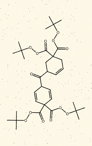 CC(C)(C)OOC(=O)C1(C(=O)OOC(C)(C)C)C=CC(C(=O)C2C=CCC(C(=O)OOC(C)(C)C)(C(=O)OOC(C)(C)C)C2)C=C1